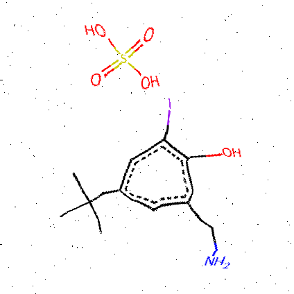 CC(C)(C)c1cc(I)c(O)c(CN)c1.O=S(=O)(O)O